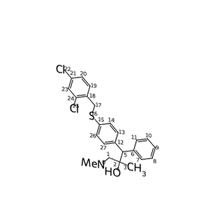 CNCC(C)(O)C(c1ccccc1)c1ccc(SCc2ccc(Cl)cc2Cl)cc1